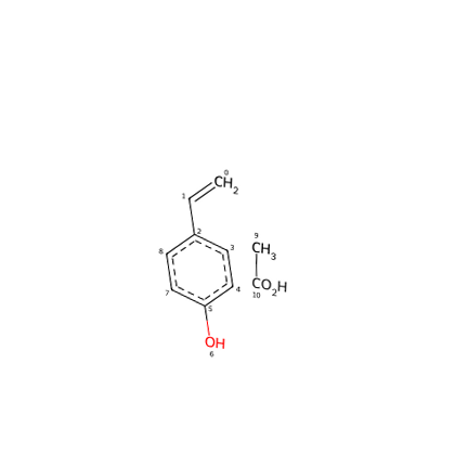 C=Cc1ccc(O)cc1.CC(=O)O